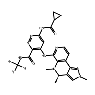 [2H]C([2H])([2H])NC(=O)c1nnc(NC(=O)C2CC2)cc1Nc1nccc2c1N(C)[C@H](C)c1cn(C)nc1-2